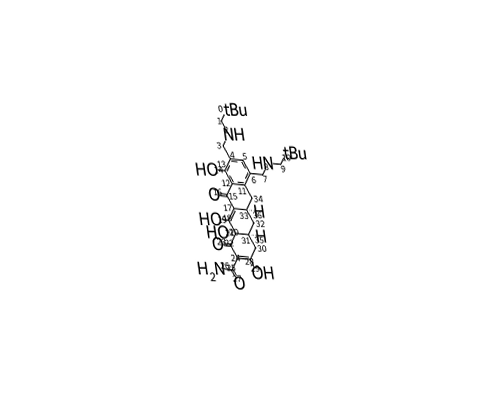 CC(C)(C)CNCc1cc(CNCC(C)(C)C)c2c(c1O)C(=O)C1=C(O)[C@]3(O)C(=O)C(C(N)=O)=C(O)C[C@@H]3C[C@@H]1C2